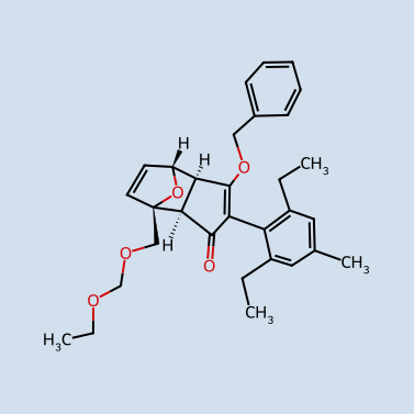 CCOCOC[C@@]12C=C[C@@H](O1)[C@H]1C(OCc3ccccc3)=C(c3c(CC)cc(C)cc3CC)C(=O)[C@H]12